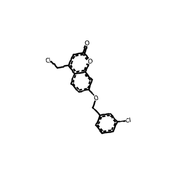 O=c1cc(CCl)c2ccc(OCc3cccc(Cl)c3)cc2o1